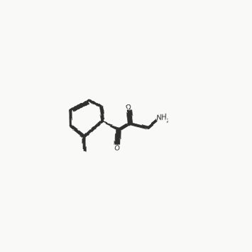 CC1CC=CC[C@H]1C(=O)C(=O)CN